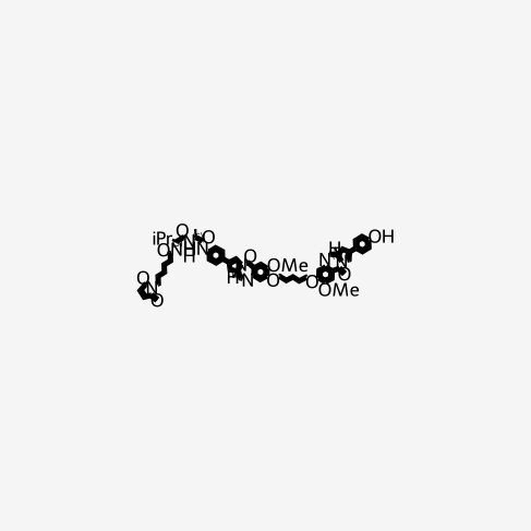 COc1cc2c(cc1OCCCCCOc1cc3c(cc1OC)C(=O)N1C=C(c4ccc(NC(=O)[C@H](C)NC(=O)[C@@H](NC(=O)CCCCCN5C(=O)C=CC5=O)C(C)C)cc4)C[C@H]1C=N3)N=C[C@@H]1CC(c3ccc(O)cc3)=CN1C2=O